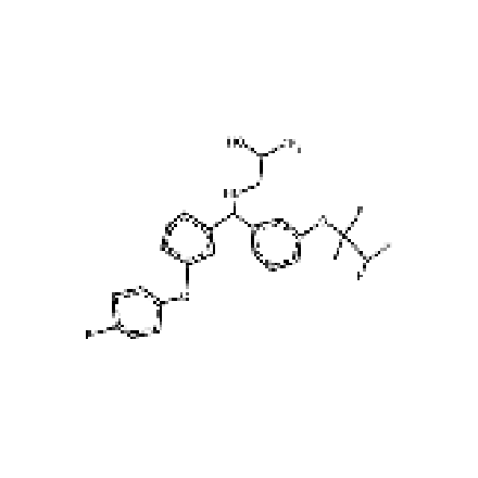 OC(CNC(c1cccc(Oc2ccc(F)cc2)c1)c1cccc(OC(F)(F)C(F)F)c1)C(F)(F)F